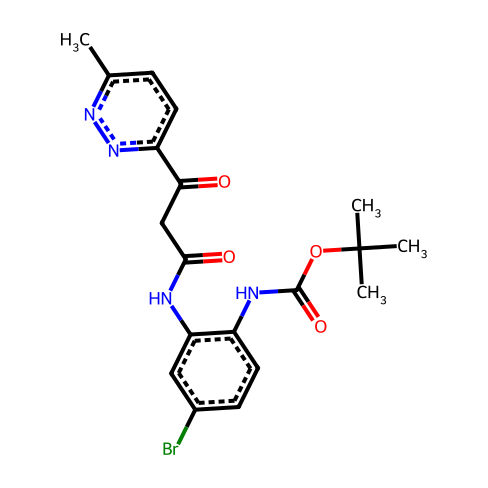 Cc1ccc(C(=O)CC(=O)Nc2cc(Br)ccc2NC(=O)OC(C)(C)C)nn1